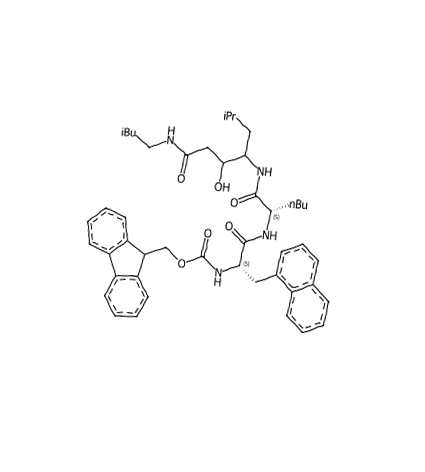 CCCC[C@H](NC(=O)[C@H](Cc1cccc2ccccc12)NC(=O)OCC1c2ccccc2-c2ccccc21)C(=O)NC(CC(C)C)C(O)CC(=O)NCC(C)CC